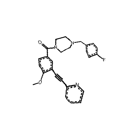 COc1ccc(C(=O)N2CCN(Cc3ccc(F)cc3)CC2)cc1C#Cc1ccccn1